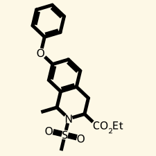 CCOC(=O)C1Cc2ccc(Oc3ccccc3)cc2C(C)N1S(C)(=O)=O